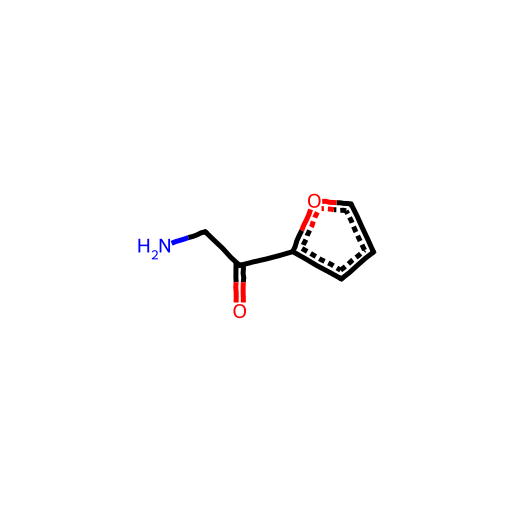 NCC(=O)c1ccco1